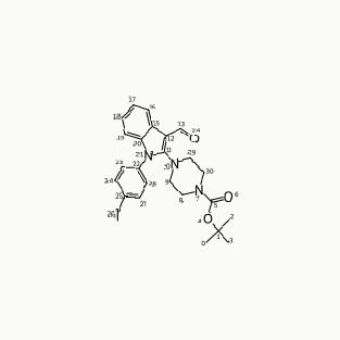 CC(C)(C)OC(=O)N1CCN(c2c(C=O)c3ccccc3n2-c2ccc(I)cc2)CC1